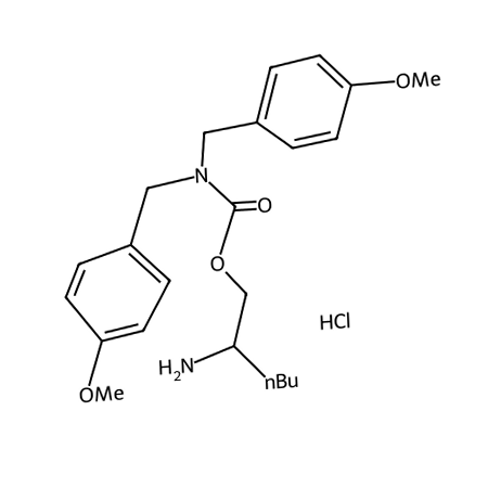 CCCCC(N)COC(=O)N(Cc1ccc(OC)cc1)Cc1ccc(OC)cc1.Cl